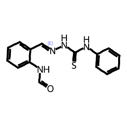 O=CNc1ccccc1/C=N/NC(=S)Nc1ccccc1